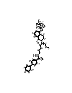 CCCN(CCCCNC(=O)c1ccc(-c2ccccc2)cc1)[C@@H]1CCc2c(OS(=O)(=O)C(F)(F)F)cccc2[C@@H]1C